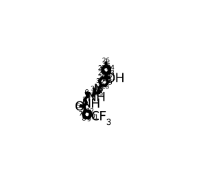 C=C(CNC(=O)c1cccc(C(F)(F)F)c1)NC1CN(C2CCC(O)(c3ccc(C)cc3)CC2)C1